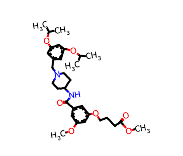 COC(=O)CCCOc1cc(OC)cc(C(=O)NC2CCN(Cc3cc(OC(C)C)cc(OC(C)C)c3)CC2)c1